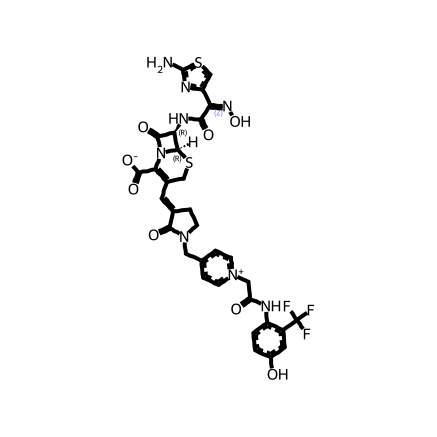 Nc1nc(/C(=N/O)C(=O)N[C@@H]2C(=O)N3C(C(=O)[O-])=C(C=C4CCN(Cc5cc[n+](CC(=O)Nc6ccc(O)cc6C(F)(F)F)cc5)C4=O)CS[C@H]23)cs1